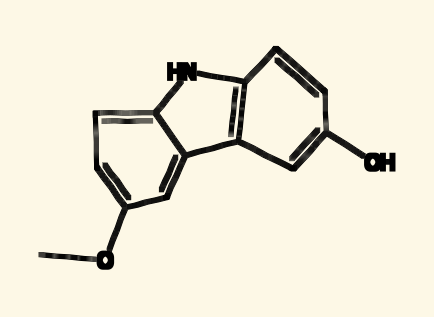 COc1ccc2[nH]c3ccc(O)cc3c2c1